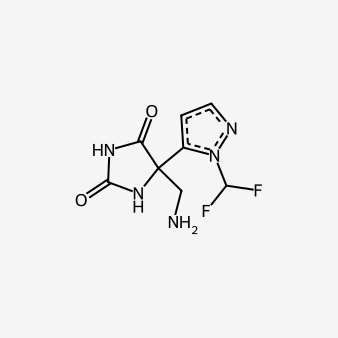 NCC1(c2ccnn2C(F)F)NC(=O)NC1=O